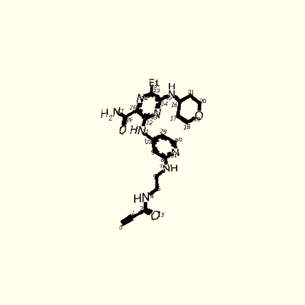 C#CC(=O)NCCNc1cc(Nc2nc(NC3CCOCC3)c(CC)nc2C(N)=O)ccn1